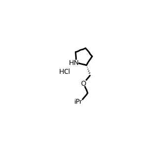 CC(C)COC[C@H]1CCCN1.Cl